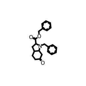 O=C1CCC2CC(C(=O)OCc3ccccc3)N(Cc3ccccc3)C2C1